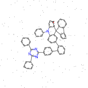 c1ccc(-c2nc(-c3ccccc3)nc(-c3ccc(-c4ccccc4-c4ccc5c(c4)C4(c6ccccc6-c6ccccc64)c4ccccc4N5c4ccccc4)cc3)n2)cc1